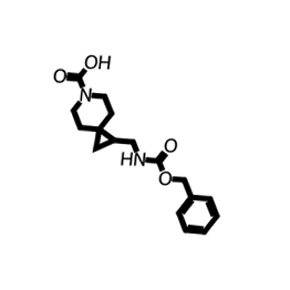 O=C(NCC1CC12CCN(C(=O)O)CC2)OCc1ccccc1